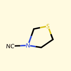 N#CN1CCSC1